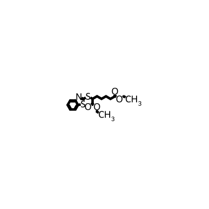 CCOC(=O)CCCCC(Sc1nc2ccccc2s1)C(=O)OCC